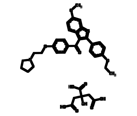 CCOc1ccc(-c2sc3cc(OC)ccc3c2C(=O)c2ccc(OCCN3CCCC3)cc2)cc1.O=C(O)CC(O)(CC(=O)O)C(=O)O